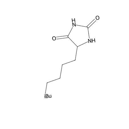 CCC(C)CCCCC1NC(=O)NC1=O